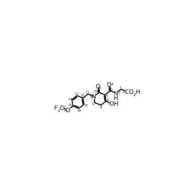 O=C(O)CNC(=O)C1=C(O)CCN(Cc2ccc(OC(F)(F)F)cc2)C1=O